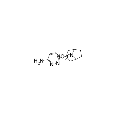 Nc1ccc(C2CC3CCC(C2)N3C(=O)O)nn1